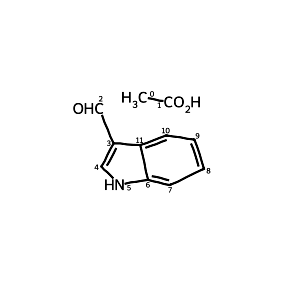 CC(=O)O.O=Cc1c[nH]c2ccccc12